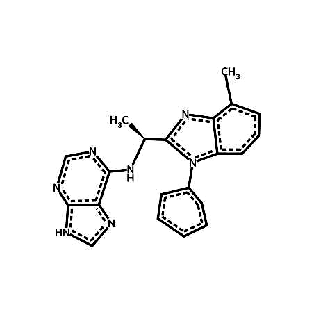 Cc1cccc2c1nc([C@H](C)Nc1ncnc3[nH]cnc13)n2-c1ccccc1